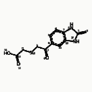 C=C1Nc2ccc(C(=O)CSCC(=O)O)cc2N1